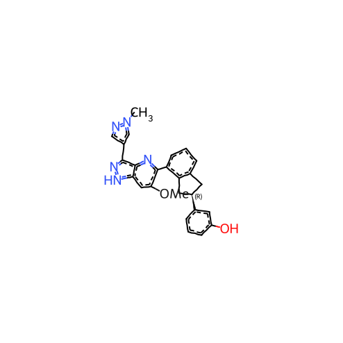 COc1cc2[nH]nc(-c3cnn(C)c3)c2nc1-c1cccc2c1C[C@H](c1cccc(O)c1)C2